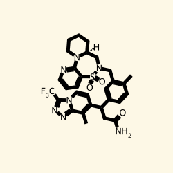 Cc1ccc(C(CC(N)=O)c2ccn3c(C(F)(F)F)nnc3c2C)cc1CN1C[C@@H]2CCCCN2c2ncccc2S1(=O)=O